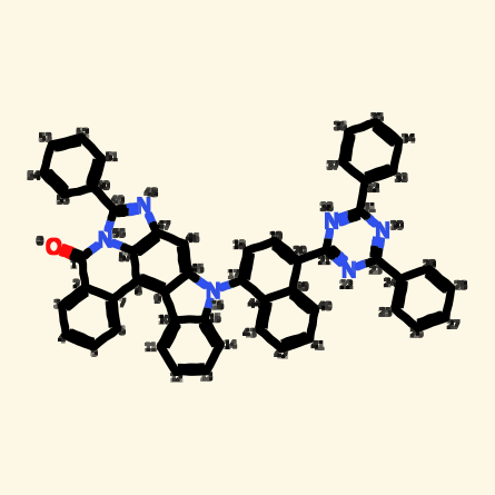 O=c1c2ccccc2c2c3c4ccccc4n(-c4ccc(-c5nc(-c6ccccc6)nc(-c6ccccc6)n5)c5ccccc45)c3cc3nc(-c4ccccc4)n1c32